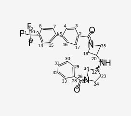 O=C(c1ccc(-c2ccc(C(F)(F)F)cc2)cc1)N1CC(N[C@H]2CCN(C(=O)c3ccccc3)C2)C1